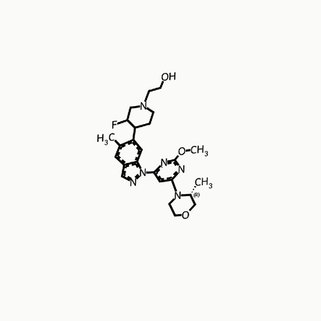 COc1nc(N2CCOC[C@H]2C)cc(-n2ncc3cc(C)c(C4CCN(CCO)CC4F)cc32)n1